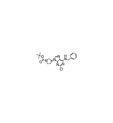 CC(C)(C)OC(=O)N1CC[C@H](n2cnc3c(NCc4ccccc4)nc(Cl)nc32)C1